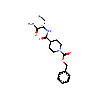 COC(=O)[C@H](CC(C)C)NC(=O)C1CCN(C(=O)OCc2ccccc2)CC1